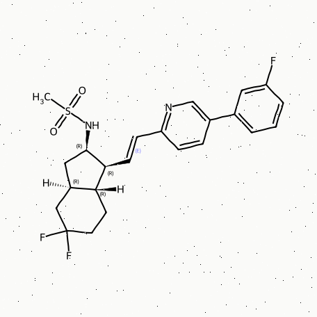 CS(=O)(=O)N[C@@H]1C[C@@H]2CC(F)(F)CC[C@H]2[C@@H]1/C=C/c1ccc(-c2cccc(F)c2)cn1